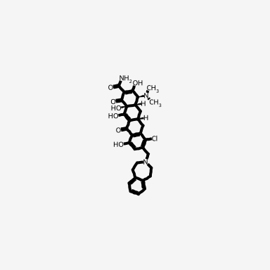 CN(C)[C@@H]1C(O)=C(C(N)=O)C(=O)[C@@]2(O)C(O)=C3C(=O)c4c(O)cc(CN5CCc6ccccc6CC5)c(Cl)c4C[C@H]3C[C@@H]12